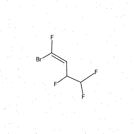 F/C(Br)=C/C(F)C(F)F